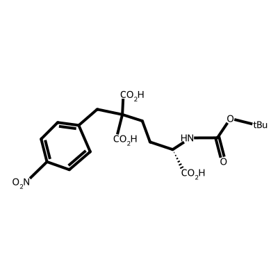 CC(C)(C)OC(=O)N[C@@H](CCC(Cc1ccc([N+](=O)[O-])cc1)(C(=O)O)C(=O)O)C(=O)O